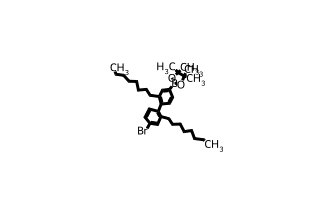 CCCCCCCCc1cc(Br)ccc1-c1ccc(B2OC(C)(C)C(C)(C)O2)cc1CCCCCCCC